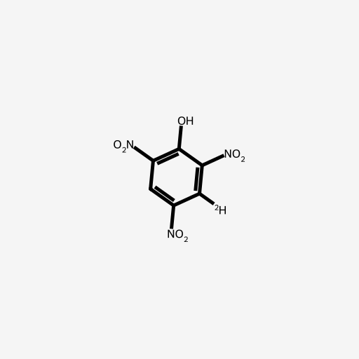 [2H]c1c([N+](=O)[O-])cc([N+](=O)[O-])c(O)c1[N+](=O)[O-]